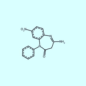 NC1=Nc2ccc([N+](=O)[O-])cc2N(c2ccccc2)C(=O)C1